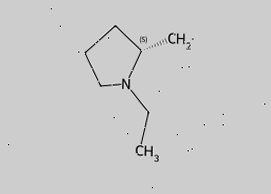 [CH2][C@H]1CCCN1CC